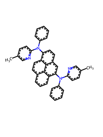 Cc1ccc(N(c2ccccc2)c2cc3ccc(N(c4ccccc4)c4ccc(C)cn4)c4ccc5cccc2c5c34)nc1